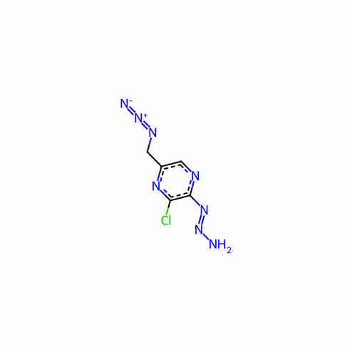 [N-]=[N+]=NCc1cnc(N=NN)c(Cl)n1